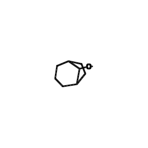 [O]C1C2CCCC1CC2